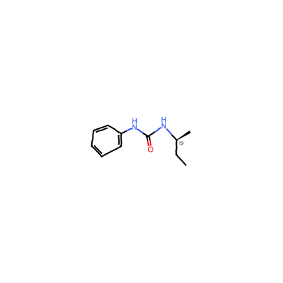 CC[C@H](C)NC(=O)Nc1ccccc1